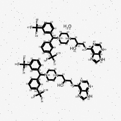 O.OC(CSc1ncnc2[nH]cnc12)CN1CCN(C(c2cccc(C(F)(F)F)c2)c2cccc(C(F)(F)F)c2)CC1.OC(CSc1ncnc2[nH]cnc12)CN1CCN(C(c2cccc(C(F)(F)F)c2)c2cccc(C(F)(F)F)c2)CC1